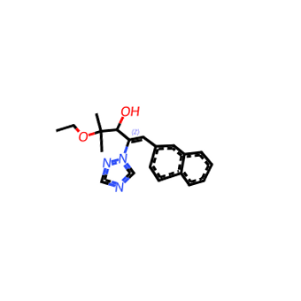 CCOC(C)(C)C(O)/C(=C/c1ccc2ccccc2c1)n1cncn1